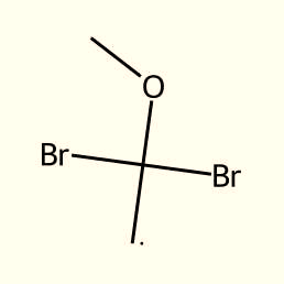 [CH2]C(Br)(Br)OC